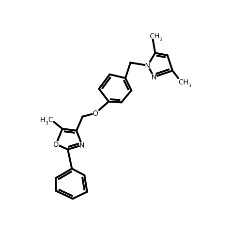 Cc1cc(C)n(Cc2ccc(OCc3nc(-c4ccccc4)oc3C)cc2)n1